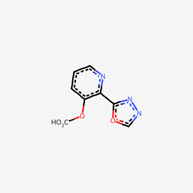 O=C(O)Oc1cccnc1-c1nnco1